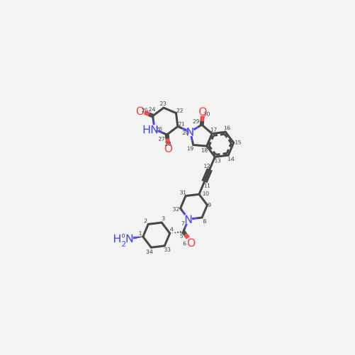 N[C@H]1CC[C@H](C(=O)N2CCC(C#Cc3cccc4c3CN(C3CCC(=O)NC3=O)C4=O)CC2)CC1